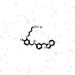 CCCCCCCCCCCCCCOc1cc(CN(C(C)=O)c2cccc(Cc3[nH]cc4cccc[n+]34)c2)ccc1Cl.[Br-]